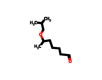 CC(C)COC(C)CCCCC=O